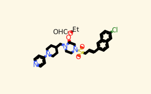 CCOC=O.O=C1CN(S(=O)(=O)CC=Cc2ccc3cc(Cl)ccc3c2)CCN1CC1CCN(c2ccncc2)CC1